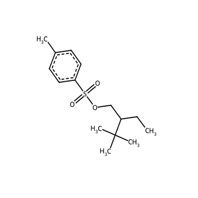 CCC(COS(=O)(=O)c1ccc(C)cc1)C(C)(C)C